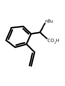 C=Cc1ccccc1C(CCCC)C(=O)O